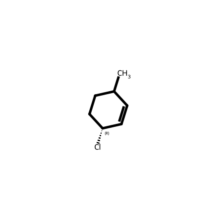 CC1C=C[C@H](Cl)CC1